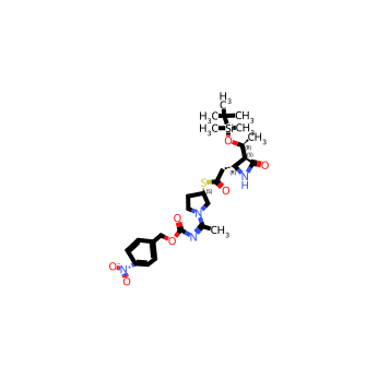 CC(=NC(=O)OCc1ccc([N+](=O)[O-])cc1)N1CC[C@H](SC(=O)C[C@H]2NC(=O)[C@@H]2[C@@H](C)O[Si](C)(C)C(C)(C)C)C1